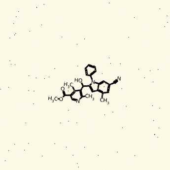 COC(=O)c1cnc(C)c(C(O)c2cc3c(C)cc(C#N)cc3n2-c2ccccc2)c1C